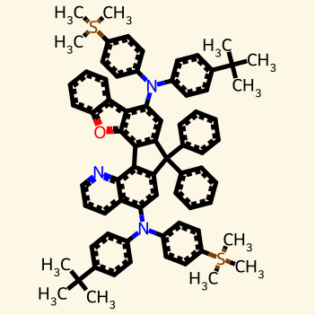 CC(C)(C)c1ccc(N(c2ccc(S(C)(C)C)cc2)c2cc3c(c4ncccc24)-c2c(cc(N(c4ccc(C(C)(C)C)cc4)c4ccc(S(C)(C)C)cc4)c4c2oc2ccccc24)C3(c2ccccc2)c2ccccc2)cc1